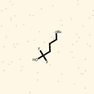 CCCCCCCC(O)(F)F